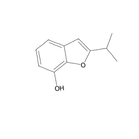 CC(C)c1cc2cccc(O)c2o1